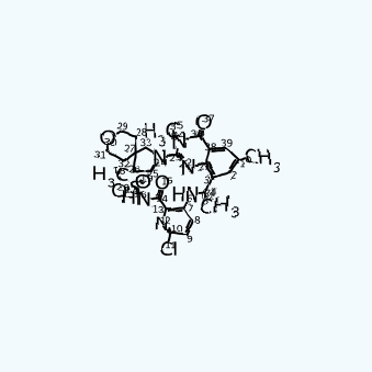 Cc1cc([C@@H](C)Nc2ccc(Cl)nc2C(=O)NS(C)(=O)=O)c2nc(N3CCC4(CCOCC4)C3)n(C)c(=O)c2c1